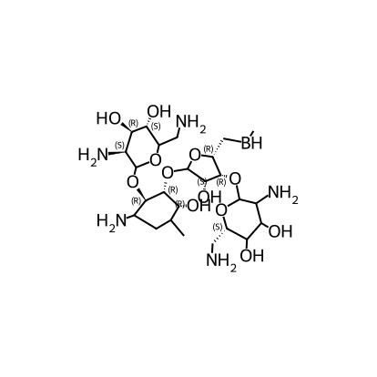 CBC[C@H]1OC(O[C@@H]2[C@H](O)C(C)CC(N)[C@H]2OC2OC(CN)[C@@H](O)[C@H](O)[C@@H]2N)[C@@H](O)[C@H]1OC1O[C@@H](CN)C(O)C(O)C1N